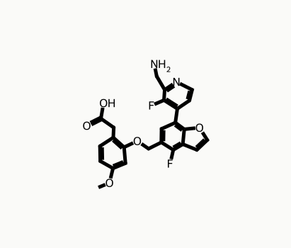 COc1ccc(CC(=O)O)c(OCc2cc(-c3ccnc(CN)c3F)c3occc3c2F)c1